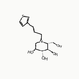 OC[C@@H]1[C@@H](O)[C@H](O)[C@@H](O)CN1CCCc1ccsc1